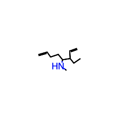 C=CCCC(NC)C(C=C)CC